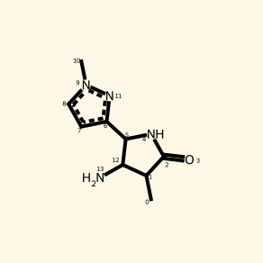 CC1C(=O)NC(c2ccn(C)n2)C1N